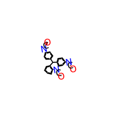 O=C=Nc1ccc(C(c2ccc(N=C=O)cc2)c2ccccc2N=C=O)cc1